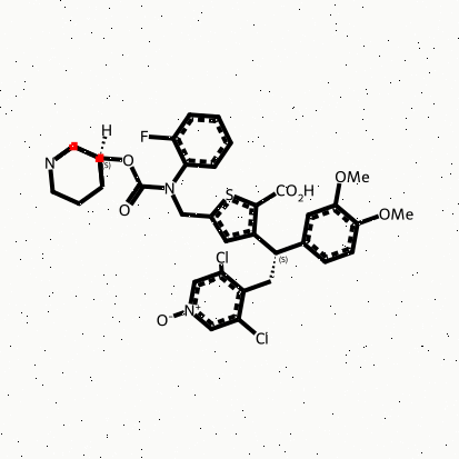 COc1ccc([C@H](Cc2c(Cl)c[n+]([O-])cc2Cl)c2cc(CN(C(=O)O[C@@H]3CN4CCC3CC4)c3ccccc3F)sc2C(=O)O)cc1OC